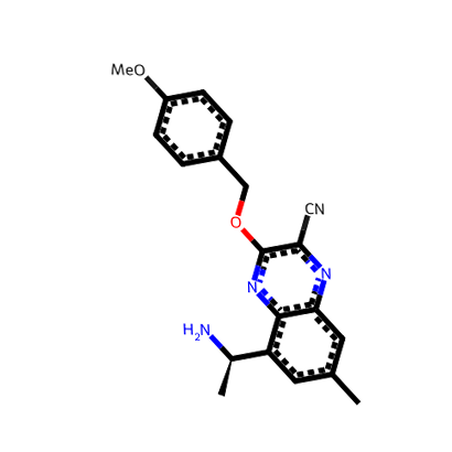 COc1ccc(COc2nc3c([C@@H](C)N)cc(C)cc3nc2C#N)cc1